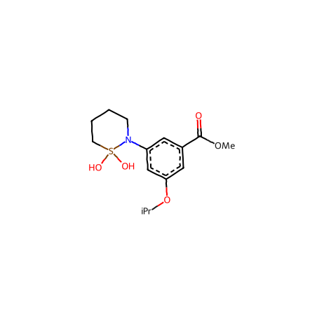 COC(=O)c1cc(OC(C)C)cc(N2CCCCS2(O)O)c1